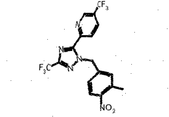 Cc1cc(Cn2nc(C(F)(F)F)nc2-c2ccc(C(F)(F)F)cn2)ccc1[N+](=O)[O-]